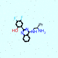 CC(C)[C@@H](N)CNc1nc(-c2cc(F)c(F)cc2O)nc2ccccc12